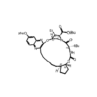 CC[C@@H]1[C@@H]2CN(C(=O)[C@H](C(C)(C)C)NC(=O)O[C@@H]3CCC[C@H]3CCCCCc3nc4ccc(OC)cc4nc3O2)[C@@H]1C(=O)OCC(C)C